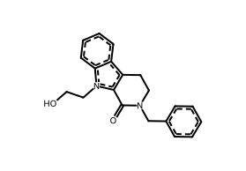 O=C1c2c(c3ccccc3n2CCO)CCN1Cc1ccccc1